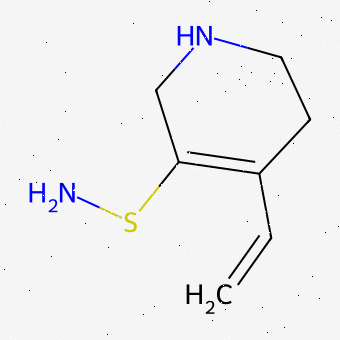 C=CC1=C(SN)CNCC1